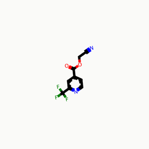 N#CCOC(=O)c1ccnc(C(F)(F)F)c1